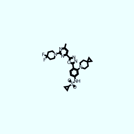 Cc1cc(-c2nnc(-c3ccc(NS(=O)(=O)C4CC4)cc3N3CCC4(CC3)CC4)o2)nc(N2CCC(F)(F)CC2)n1